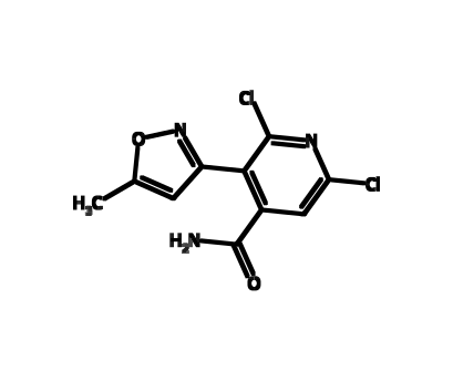 Cc1cc(-c2c(C(N)=O)cc(Cl)nc2Cl)no1